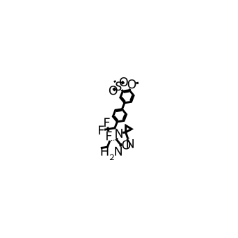 CCC[C@@H](C(N)=O)N([C@@H](c1ccc(-c2ccc(OC)c(S(C)(=O)=O)c2)cc1)C(F)(F)F)C1(C#N)CC1